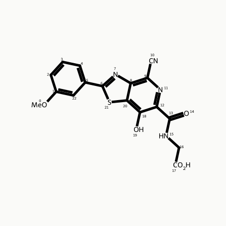 COc1cccc(-c2nc3c(C#N)nc(C(=O)NCC(=O)O)c(O)c3s2)c1